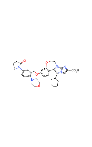 O=C(O)c1cn2c(C3CCCCC3)c3n(c2n1)CCOc1cc(OCc2cc(N4CCCC4=O)ccc2N2CCOCC2)ccc1-3